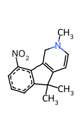 CN1C=CC2=C(C1)c1c([N+](=O)[O-])cccc1C2(C)C